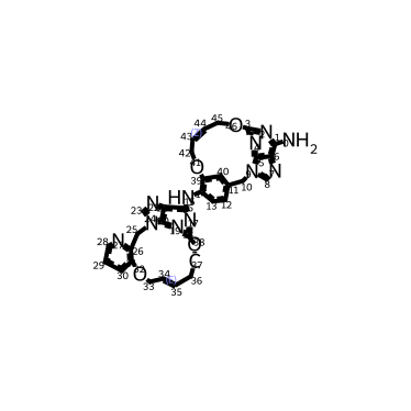 Nc1nc2nc3c1ncn3Cc1ccc(Nc3nc4nc5c3ncn5Cc3ncccc3OC/C=C/CCO4)c(c1)OC/C=C\CO2